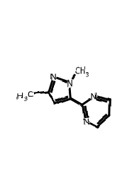 Cc1cc(-c2ncccn2)n(C)n1